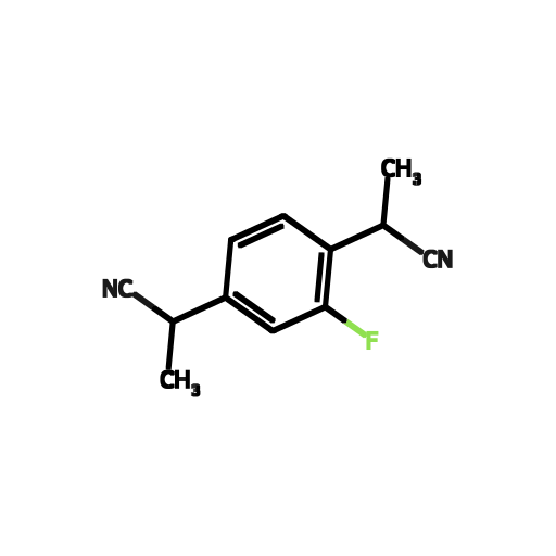 CC(C#N)c1ccc(C(C)C#N)c(F)c1